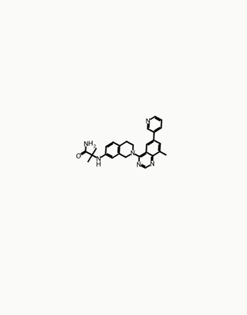 Cc1cc(-c2cccnc2)cc2c(N3CCc4ccc(NC(C)(C)C(N)=O)cc4C3)ncnc12